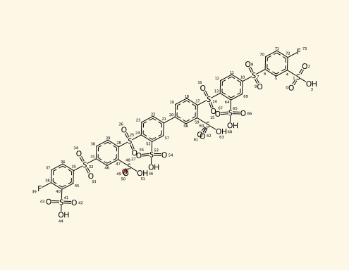 O=S(=O)(O)c1cc(S(=O)(=O)c2ccc(S(=O)(=O)c3ccc(-c4ccc(S(=O)(=O)c5ccc(S(=O)(=O)c6ccc(F)c(S(=O)(=O)O)c6)cc5S(=O)(=O)O)c(S(=O)(=O)O)c4)cc3S(=O)(=O)O)c(S(=O)(=O)O)c2)ccc1F